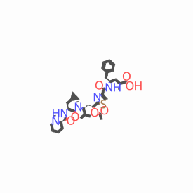 CC(=O)O[C@H](C[C@H](C(C)C)N(C)C(=O)[C@H](CC1CC1)NC(=O)[C@H]1CCCCN1C)c1nc(C(=O)N[C@@H](Cc2ccccc2)C[C@H](C)C(=O)O)cs1